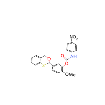 COc1ccc(C2OCc3ccccc3S2)cc1OC(=O)Nc1ccc([N+](=O)[O-])cc1